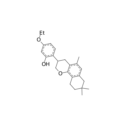 CCOc1ccc(C2COc3c(c(C)cc4c3CCC(C)(C)C4)C2)c(O)c1